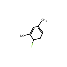 CC1=CCC(F)C(C#N)=C1